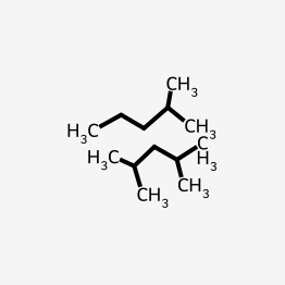 CC(C)CC(C)C.CCCC(C)C